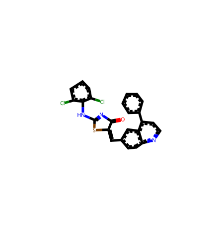 O=C1N=C(Nc2c(Cl)cccc2Cl)SC1=Cc1ccc2nccc(-c3ccccc3)c2c1